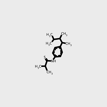 CC(C)C(=S)Nc1ccc(C(C)C(C)C(C)C)cc1